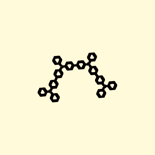 c1ccc(N(c2ccccc2)c2ccc(-c3ccc(N(c4ccccc4)c4ccc(-c5ccc(N(c6ccccc6)c6ccc(-c7ccc(N(c8ccccc8)c8ccccc8)cc7)cc6)cc5)cc4)cc3)cc2)cc1